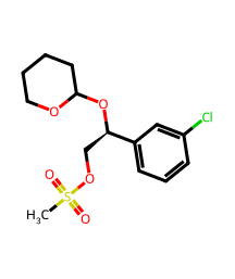 CS(=O)(=O)OC[C@@H](OC1CCCCO1)c1cccc(Cl)c1